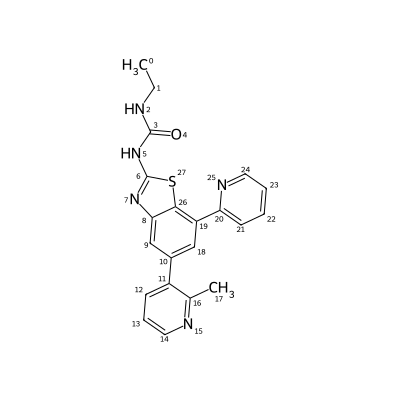 CCNC(=O)Nc1nc2cc(-c3cccnc3C)cc(-c3ccccn3)c2s1